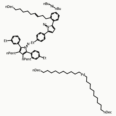 CCCCCC1=C(c2ccc(CC)cc2)[N+](=[N-])C(c2cccc(CC)c2)=C1CCCCC.CCCCCCCCCCCCCCCC=CCCc1ccccc1C1=CC=C(c2ccc(CC)cc2)[N+]1=[N-].CCCCCCCCCCCCCCCCCCC[CH2][Pd][CH2]CCCCCCCCCCCCCCCCCCC.CCC[CH2][Ni][CH2]CCC